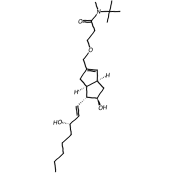 CCCCC[C@H](O)/C=C/[C@@H]1[C@H]2CC(COCCC(=O)N(C)C(C)(C)C)=C[C@H]2C[C@H]1O